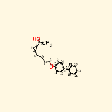 OC(C1CC1CCCCOc1ccc(-c2ccccc2)cc1)C(F)(F)F